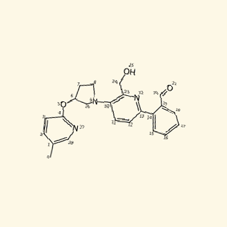 Cc1ccc(OC2CCN(c3ccc(-c4ccccc4C=O)nc3CO)C2)nc1